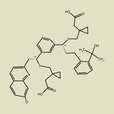 CC(C)(O)c1ccccc1CC[C@@H](SCC1(CC(=O)O)CC1)c1cccc([C@@H](Cc2ccc3ccc(Cl)cc3n2)SCC2(CC(=O)O)CC2)c1